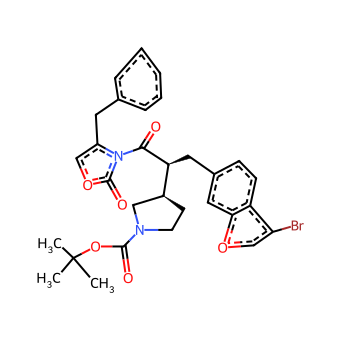 CC(C)(C)OC(=O)N1CC[C@H]([C@H](Cc2ccc3c(Br)coc3c2)C(=O)n2c(Cc3ccccc3)coc2=O)C1